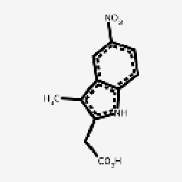 Cc1c(CC(=O)O)[nH]c2ccc([N+](=O)[O-])cc12